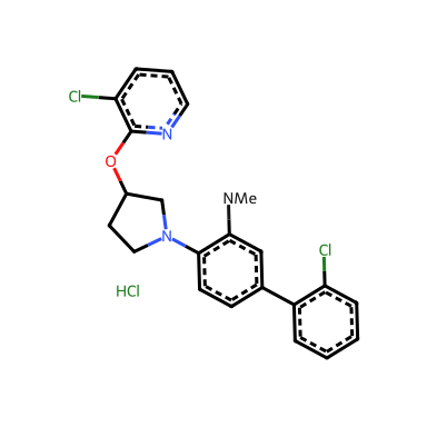 CNc1cc(-c2ccccc2Cl)ccc1N1CCC(Oc2ncccc2Cl)C1.Cl